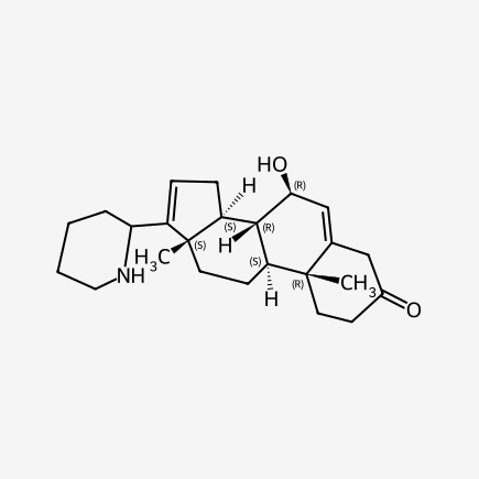 C[C@]12CCC(=O)CC1=C[C@H](O)[C@@H]1[C@@H]2CC[C@]2(C)C(C3CCCCN3)=CC[C@@H]12